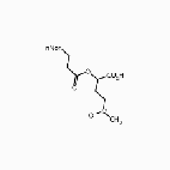 CCCCCCCCCCCC(=O)OC(CC[S+](C)[O-])C(=O)O